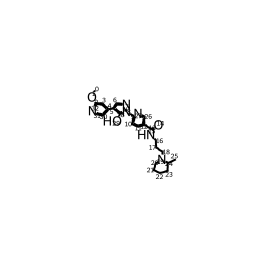 COc1cc(-c2cnn(-c3ccc(C(=O)NCCCN4CCCCC4C)cn3)c2O)ccn1